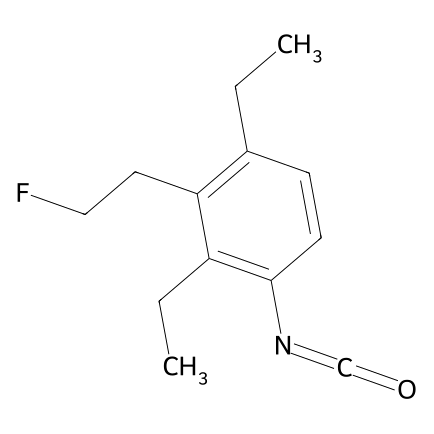 CCc1ccc(N=C=O)c(CC)c1CCF